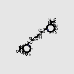 C=C1C(=O)O[C@H]2[C@H]1CC/C(COC(=O)NCCCNC(=O)OC/C1=C/CC[C@@]3(C)O[C@H]3[C@H]3OC(=O)C(=C)[C@@H]3CC1)=C\CC[C@@]1(C)O[C@@H]21